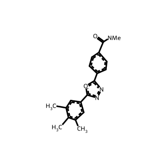 CNC(=O)c1ccc(-c2nnc(-c3cc(C)c(C)c(C)c3)o2)cc1